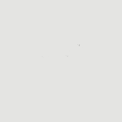 NCC(=O)NCCC1C(=O)NOc2ccccc21